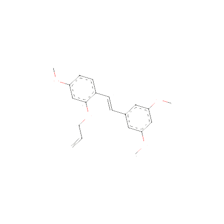 C=CCOc1cc(OC)ccc1/C=C/c1cc(OC)cc(OC)c1